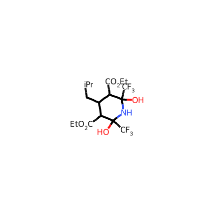 CCOC(=O)C1C(CC(C)C)C(C(=O)OCC)C(O)(C(F)(F)F)NC1(O)C(F)(F)F